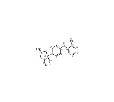 CC[C@@H]1CN[C@@](CC#N)(c2ccc(Oc3ccccc3C)cc2)C1